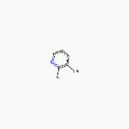 CC(=O)c1ncccc1C#N